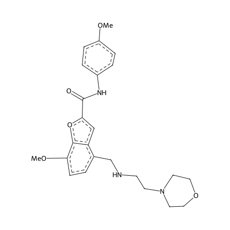 COc1ccc(NC(=O)c2cc3c(CNCCN4CCOCC4)ccc(OC)c3o2)cc1